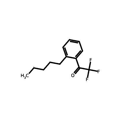 C[CH]CCCc1ccccc1C(=O)C(F)(F)F